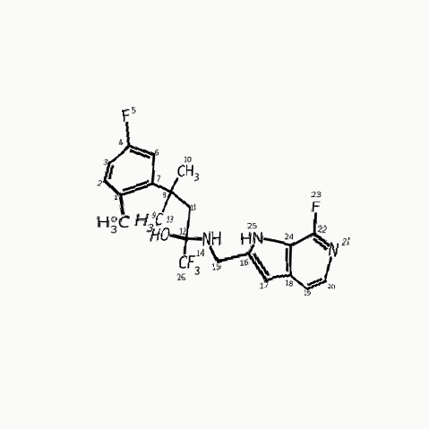 Cc1ccc(F)cc1C(C)(C)CC(O)(NCc1cc2ccnc(F)c2[nH]1)C(F)(F)F